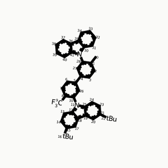 Cc1ccc(-c2ccc(C(F)(F)F)c(-n3c4ccc(C(C)(C)C)cc4c4cc(C(C)(C)C)ccc43)c2)cc1-n1c2ccccc2c2ccccc21